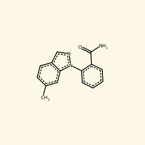 Cc1ccc2cnn(-c3ccccc3C(N)=O)c2c1